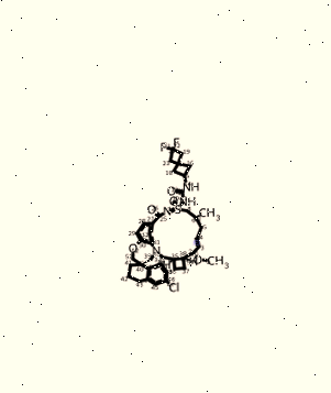 CO[C@H]1/C=C/C[C@H](C)CS(=O)(NC(=O)NC2CC3(C2)CC(F)(F)C3)=NC(=O)c2ccc3c(c2)N(C[C@@H]2CC[C@H]21)C[C@@]1(CCCc2cc(Cl)ccc21)CO3